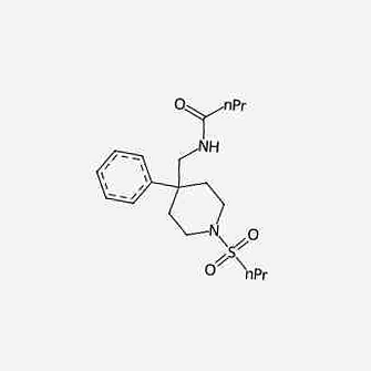 CCCC(=O)NCC1(c2ccccc2)CCN(S(=O)(=O)CCC)CC1